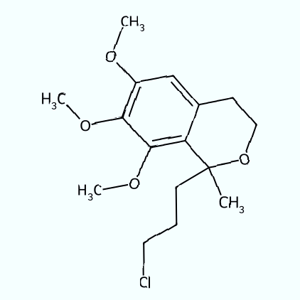 COc1cc2c(c(OC)c1OC)C(C)(CCCCl)OCC2